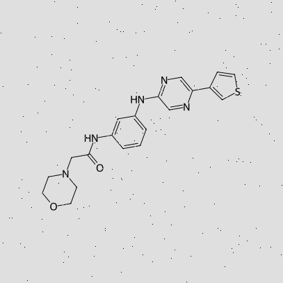 O=C(CN1CCOCC1)Nc1cccc(Nc2cnc(-c3ccsc3)cn2)c1